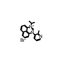 Cc1ncccc1N1C=[N+](C(C)C)c2cccc3cccc1c23.[Br-]